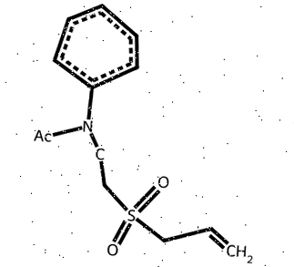 C=CCS(=O)(=O)CCN(C(C)=O)c1ccccc1